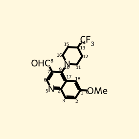 COc1ccc2ncc(C=O)c(N3CCC(C(F)(F)F)CC3)c2c1